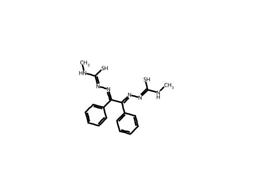 CN/C(S)=N/N=C(/C(=N/N=C(\S)NC)c1ccccc1)c1ccccc1